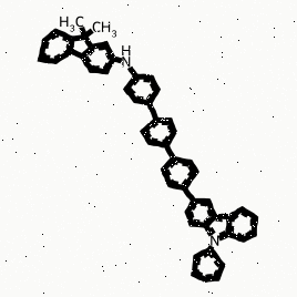 CC1(C)c2ccccc2-c2ccc(Nc3ccc(-c4ccc(-c5ccc(-c6ccc7c(c6)c6ccccc6n7-c6ccccc6)cc5)cc4)cc3)cc21